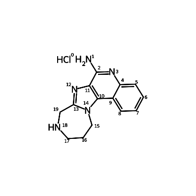 Cl.Nc1nc2ccccc2c2c1nc1n2CCCNC1